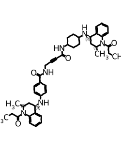 CCC(=O)N1c2ccccc2[C@H](Nc2ccc(C(=O)NCC#CC(=O)NC3CCC(N[C@@H]4C[C@H](C)N(C(=O)CC)c5ccccc54)CC3)cc2)C[C@@H]1C